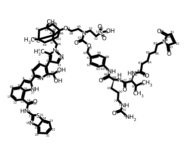 Cc1c(-c2ccc(-c3cc4cccc(C(=O)Nc5nc6ccccc6s5)c4[nH]3)nc2C(O)O)cnn1CC12CC3(C)CC(C)(C1)CC(OCCN(CCS(=O)(=O)O)C(=O)OCc1ccc(NC(=O)[C@H](CCCNC(N)=O)NC(=O)[C@@H](NC(=O)CCCCCN4C(=O)C=CC4=O)C(C)C)cc1)(C3)C2